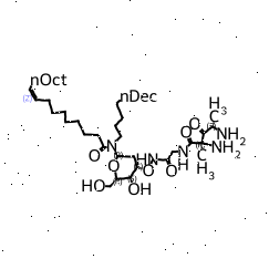 CCCCCCCC/C=C\CCCCCCCC(=O)N(CCCCCCCCCCCCCC)[C@H]1C[C@H](ONC(=O)CNC(=O)[C@](C)(N)C(=O)[C@H](C)N)[C@@H](O)[C@@H](CO)O1